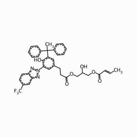 CC=CC(=O)OCC(O)COC(=O)CCc1cc(-n2nc3ccc(C(F)(F)F)cc3n2)c(O)c(C(C)(c2ccccc2)c2ccccc2)c1